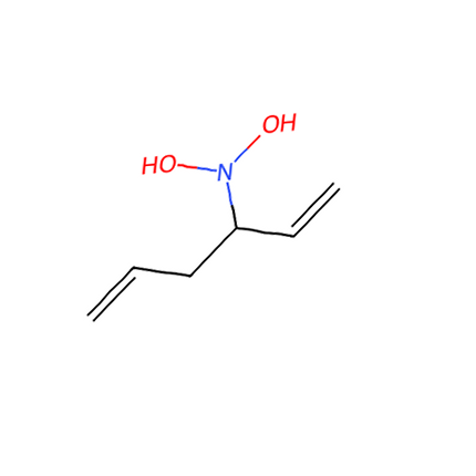 C=CCC(C=C)N(O)O